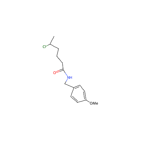 COc1ccc(CNC(=O)CCCC(C)Cl)cc1